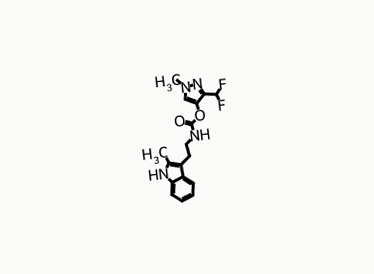 Cc1[nH]c2ccccc2c1CCNC(=O)Oc1cn(C)nc1C(F)F